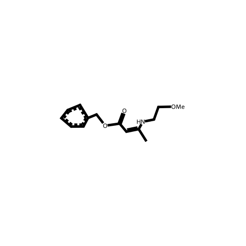 COCCN/C(C)=C\C(=O)OCc1ccccc1